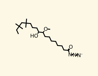 CCC(C)(C)CC(C)(C)CCCC(O)C(CCCCCCCC(=O)N=[N+]=[N-])OC